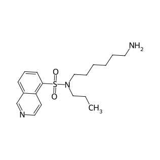 CCCN(CCCCCCN)S(=O)(=O)c1cccc2cnccc12